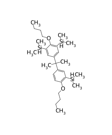 CCCCOc1ccc(C(C)(C)c2cc([SiH](C)C)c(OCCCC)c([SiH](C)C)c2)cc1[SiH](C)C